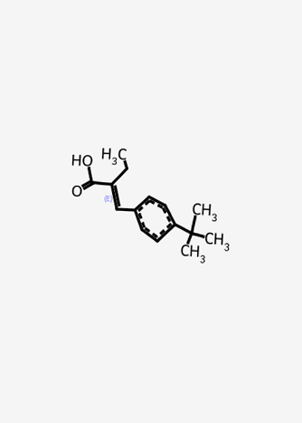 CC/C(=C\c1ccc(C(C)(C)C)cc1)C(=O)O